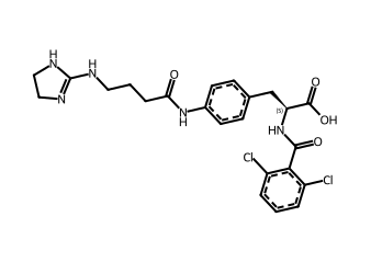 O=C(CCCNC1=NCCN1)Nc1ccc(C[C@H](NC(=O)c2c(Cl)cccc2Cl)C(=O)O)cc1